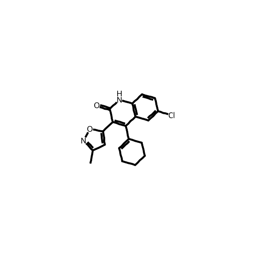 Cc1cc(-c2c(C3=CCCCC3)c3cc(Cl)ccc3[nH]c2=O)on1